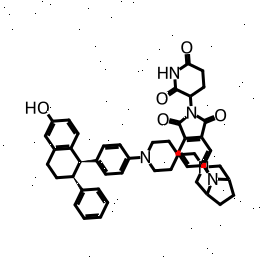 O=C1CCC(N2C(=O)c3ccc(N4C5CCC4CN(CC4CCN(c6ccc([C@@H]7c8ccc(O)cc8CC[C@@H]7c7ccccc7)cc6)CC4)C5)cc3C2=O)C(=O)N1